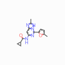 Cc1nc2cc(NC(=O)C3CC3)nc(-c3ccc(C)o3)n2n1